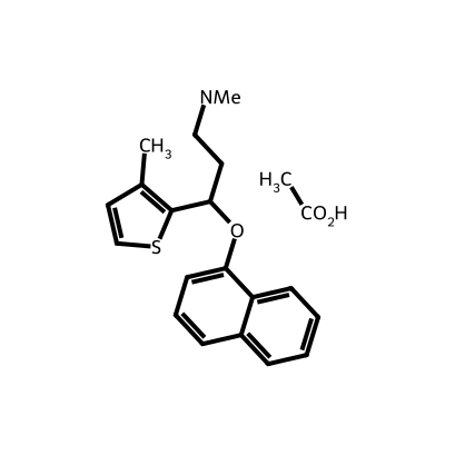 CC(=O)O.CNCCC(Oc1cccc2ccccc12)c1sccc1C